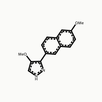 COc1ccc2cc(-c3n[nH]cc3OC)ccc2c1